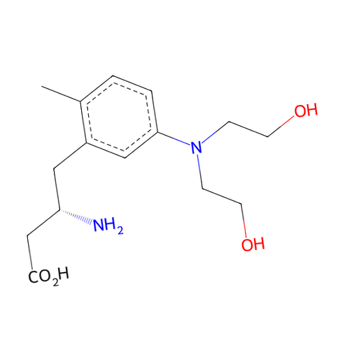 Cc1ccc(N(CCO)CCO)cc1C[C@H](N)CC(=O)O